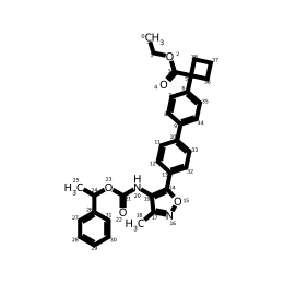 CCOC(=O)C1(c2ccc(-c3ccc(-c4onc(C)c4NC(=O)OC(C)c4ccccc4)cc3)cc2)CCC1